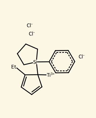 CCC1=CC=C[C]1([Ti+3])[Si]1(c2ccccc2)CCCC1.[Cl-].[Cl-].[Cl-]